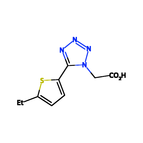 CCc1ccc(-c2nnnn2CC(=O)O)s1